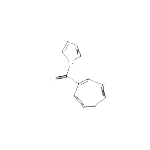 O=C(C1=CC=CCC=C1)n1cccc1